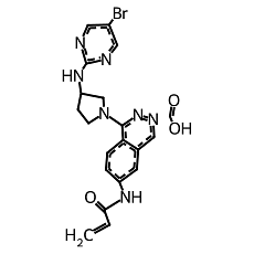 C=CC(=O)Nc1ccc2c(N3CCC(Nc4ncc(Br)cn4)C3)nncc2c1.O=CO